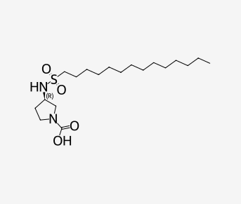 CCCCCCCCCCCCCCS(=O)(=O)N[C@@H]1CCN(C(=O)O)C1